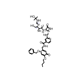 CCCCOc1cn(OCc2ccccc2)c(CNC(=O)c2ccnc(NC[C@H]3NC(=O)[C@H]3NC(=O)C(=N)C(=C/S)/N=C/NC(C)(C)O)c2)cc1=O